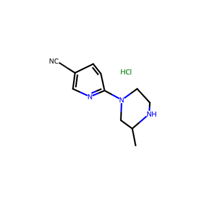 CC1CN(c2ccc(C#N)cn2)CCN1.Cl